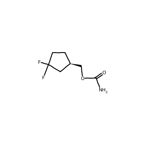 NC(=O)OC[C@@H]1CCC(F)(F)C1